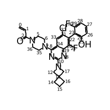 C=CC(=O)N1CCN(c2nc(N3CC4(CCC4)C3)nc3c(F)c(-c4c(O)cccc4F)c(Cl)cc23)CC1